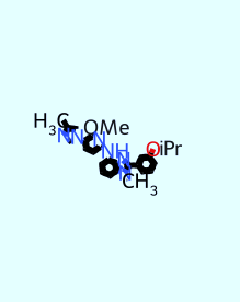 COc1nc(Nc2cccc3c2nc(-c2cccc(OC(C)C)c2)n3C)ccc1-n1cnc(C)c1